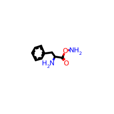 NOC(=O)C(N)Cc1ccccc1